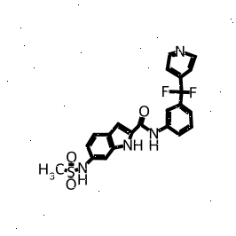 CS(=O)(=O)Nc1ccc2cc(C(=O)Nc3cccc(C(F)(F)c4ccncc4)c3)[nH]c2c1